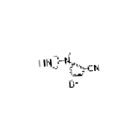 CN(c1cc(Br)cc(C#N)c1)C1CCNCC1